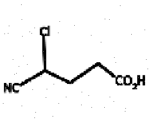 N#CC(Cl)CCC(=O)O